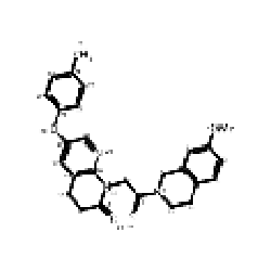 COc1ccc2c(c1)CN(C(=O)CN1C(=O)CCc3cc(Oc4ccc(C)cc4)cnc31)CC2